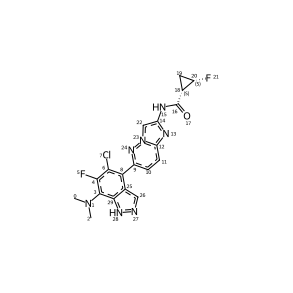 CN(C)c1c(F)c(Cl)c(-c2ccc3nc(NC(=O)[C@@H]4C[C@@H]4F)cn3n2)c2cn[nH]c12